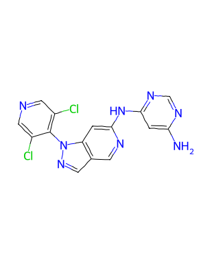 Nc1cc(Nc2cc3c(cn2)cnn3-c2c(Cl)cncc2Cl)ncn1